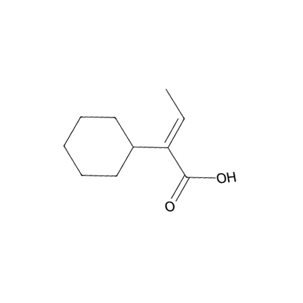 C/C=C(/C(=O)O)C1CCCCC1